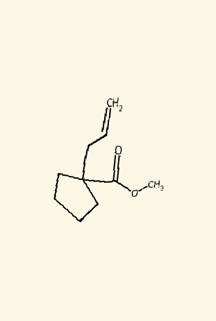 C=CCC1(C(=O)OC)CCCC1